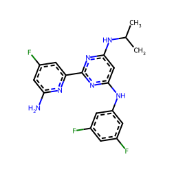 CC(C)Nc1cc(Nc2cc(F)cc(F)c2)nc(-c2cc(F)cc(N)n2)n1